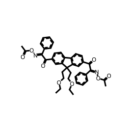 CCOCCC1(CCOCC)c2cc(C(=O)/C(=N/OC(C)=O)c3ccccc3)ccc2-c2ccc(C(=O)/C(=N/OC(C)=O)c3ccccc3)cc21